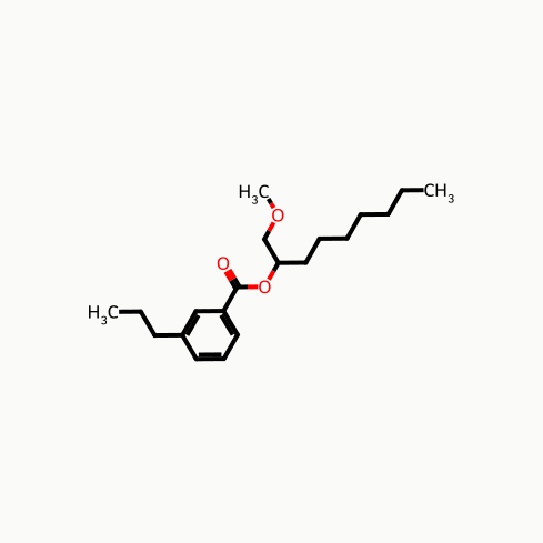 CCCCCCCC(COC)OC(=O)c1cccc(CCC)c1